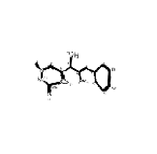 CN1C[C@@H](C(O)C(N)CC2CCCCC2)OC(=O)N1